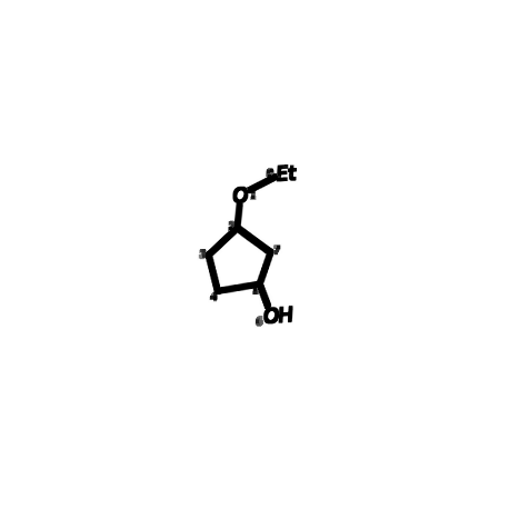 CCOC1CCC(O)C1